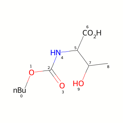 CCCCOC(=O)NC(C(=O)O)C(C)O